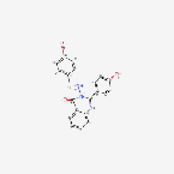 O=c1c2ccccc2nc(-c2ccc(O)cc2)n1NCc1ccc(Br)cc1